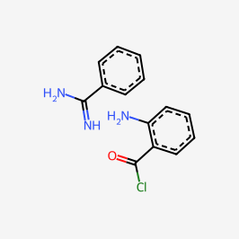 N=C(N)c1ccccc1.Nc1ccccc1C(=O)Cl